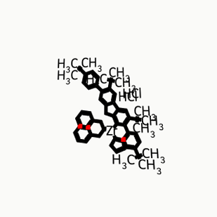 CC(C)(C)c1ccc(-c2cc3c(cc2C(C)(C)C)-c2cc(C(C)(C)C)c(-c4ccc(C(C)(C)C)cc4)[c]([Zr]([C]4=CC=CC4)=[C](Cc4ccccc4)Cc4ccccc4)c2C3)cc1.Cl.Cl